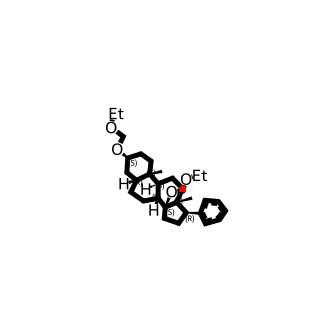 CCOCO[C@H]1CC[C@@]2(C)[C@H](CC[C@@H]3[C@@H]2CC[C@]2(C)[C@@H](c4ccccc4)CC[C@]32OCOCC)C1